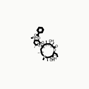 CCC1OC(=O)[C@H](C)[C@@H](O)[C@H](C)[C@@H](O[C@@H]2O[C@H](C)C[C@H](NC)[C@H]2OC(=O)c2ccccc2)[C@](C)(O)C[C@@H](C)CN(C)[C@H](C)[C@@H](O)[C@]1(C)O